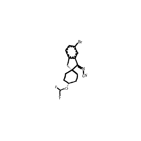 N#C/N=C1/c2cc(Br)ccc2C[C@]12CC[C@@H](OC(F)F)CC2